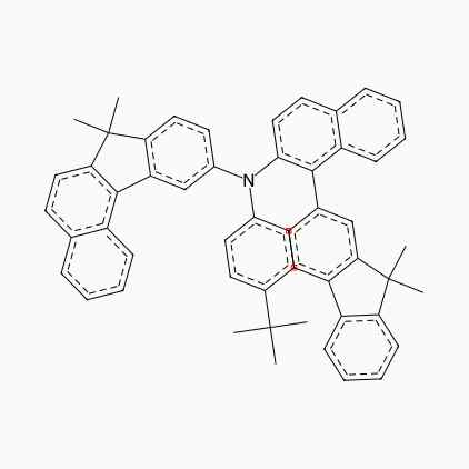 CC(C)(C)c1ccc(N(c2ccc3c(c2)-c2c(ccc4ccccc24)C3(C)C)c2ccc3ccccc3c2-c2ccc3c(c2)C(C)(C)c2ccccc2-3)cc1